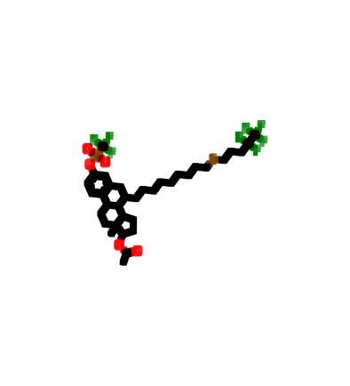 CC(=O)OC1CCC2C3C(CCCCCCCCCSCCCC(F)(F)C(F)(F)F)Cc4cc(OS(=O)(=O)C(F)(F)F)ccc4C3CCC12C